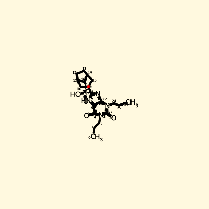 CCCn1c(=O)c2[nH]c(C3CC4CCC(C3)C4O[PH](=O)O)nc2n(CCC)c1=O